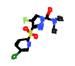 CCN(CC)C(=O)n1cc(F)c(S(=O)(=O)c2ccc(Cl)cn2)n1